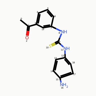 CC(=O)c1cccc(NC(=S)Nc2ccc(N)cc2)c1